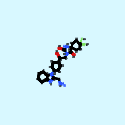 NCc1nc2ccccc2n1-c1ccc(C(=O)CN2C(=O)NC3(CCC(F)(F)CC3)C2=O)cc1